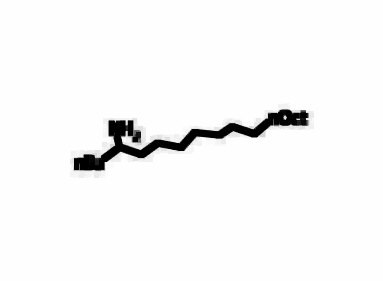 CCCCCCCCCCCCCCCC(N)CCCC